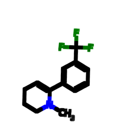 CN1CCCC=C1c1cccc(C(F)(F)F)c1